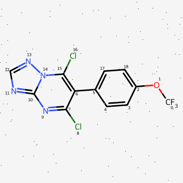 FC(F)(F)Oc1ccc(-c2c(Cl)nc3ncnn3c2Cl)cc1